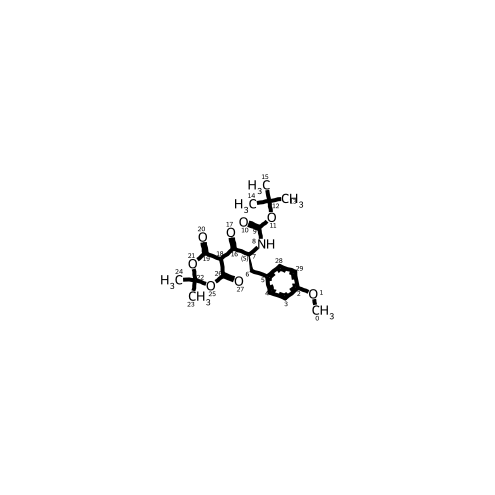 COc1ccc(C[C@H](NC(=O)OC(C)(C)C)C(=O)C2C(=O)OC(C)(C)OC2=O)cc1